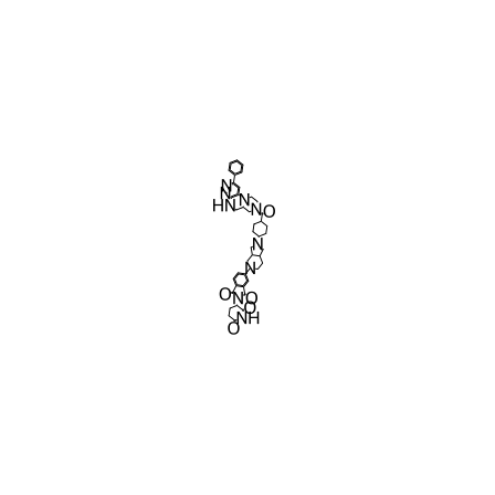 O=C1CCC(N2C(=O)c3ccc(N4CCC5CN(C6CCC(C(=O)N7CCN8c9cc(-c%10ccccc%10)nnc9NCC8C7)CC6)CC5C4)cc3C2=O)C(=O)N1